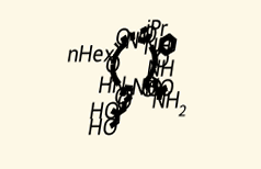 CCCCCC[C@H]1OC[C@@H](C)NC(=O)[C@H](COCC(O)CO)NC(=O)[C@H](COC(N)=O)NC(=O)[C@H](C2CCCCC2)NC(=O)[C@H](CC(C)C)N(C)C(=O)[C@@H]1C